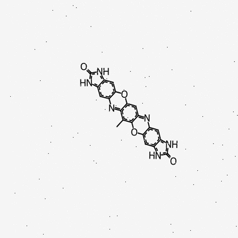 Cc1c2c(cc3c1=Nc1cc4[nH]c(=O)[nH]c4cc1O3)=Nc1cc3[nH]c(=O)[nH]c3cc1O2